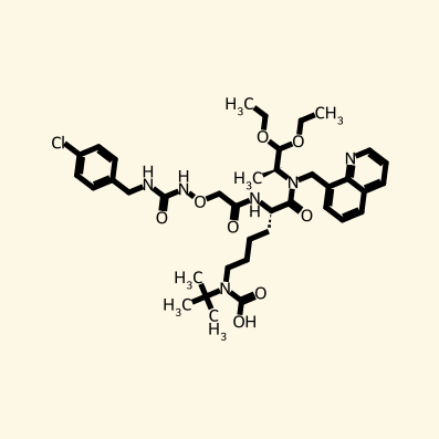 CCOC(OCC)[C@H](C)N(Cc1cccc2cccnc12)C(=O)[C@H](CCCCN(C(=O)O)C(C)(C)C)NC(=O)CONC(=O)NCc1ccc(Cl)cc1